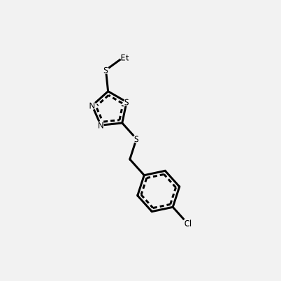 CCSc1nnc(SCc2ccc(Cl)cc2)s1